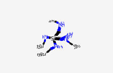 CC(C)N[Si](NC(C)(C)C)(NC(C)(C)C)NC(C)(C)C